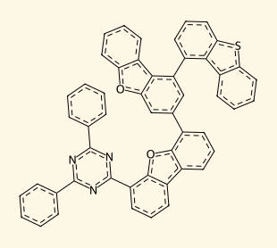 c1ccc(-c2nc(-c3ccccc3)nc(-c3cccc4c3oc3c(-c5cc(-c6cccc7sc8ccccc8c67)c6c(c5)oc5ccccc56)cccc34)n2)cc1